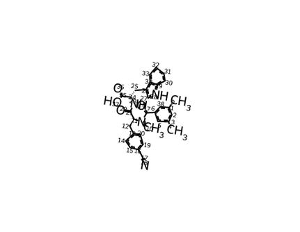 Cc1cc(C)cc(C(=O)N(C)[C@@H](Cc2ccc(C#N)cc2)C(=O)N[C@@H](Cc2c[nH]c3ccccc23)C(=O)O)c1